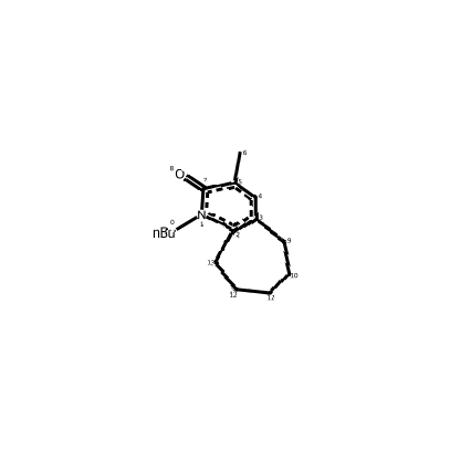 CCCCn1c2c(cc(C)c1=O)CCCCC2